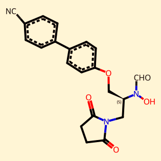 N#Cc1ccc(-c2ccc(OC[C@H](CN3C(=O)CCC3=O)N(O)C=O)cc2)cc1